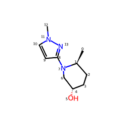 C[C@H]1CC[C@H](O)CN1c1ccn(C)n1